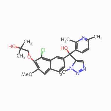 COc1cc2ccc(C(O)(c3ccc(C)nc3C)c3cnnn3C)cc2c(Cl)c1OCC(C)(C)O